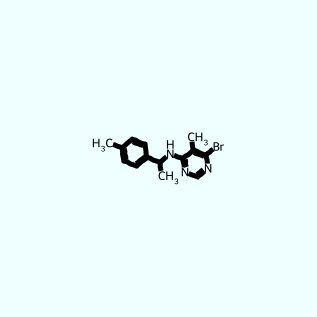 Cc1ccc(C(C)Nc2ncnc(Br)c2C)cc1